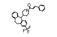 O=C(C=Cc1ccccc1)N1CCC(C2c3ccccc3CCc3cc(C(F)(F)F)ccc32)CC1